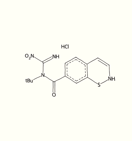 CC(C)(C)N(C(=N)[N+](=O)[O-])C(=O)c1ccc2c(c1)SNC=C2.Cl